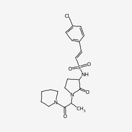 CC(C(=O)N1CCCCC1)N1CCC(NS(=O)(=O)/C=C/c2ccc(Cl)cc2)C1=O